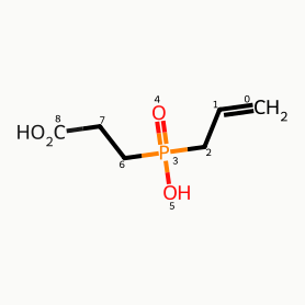 C=CCP(=O)(O)CCC(=O)O